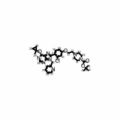 CC(C)(C)OC(=O)N1CCN(CCOc2ccc(-c3nc4c(OC5(C)CC5)ncnc4n3Cc3ccccn3)c(Cl)c2)CC1